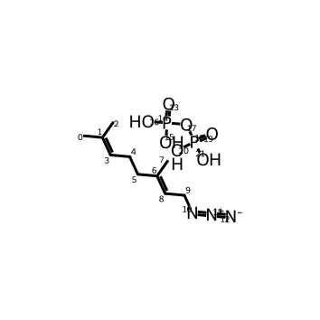 CC(C)=CCC/C(C)=C/CN=[N+]=[N-].O=P(O)(O)OP(=O)(O)O